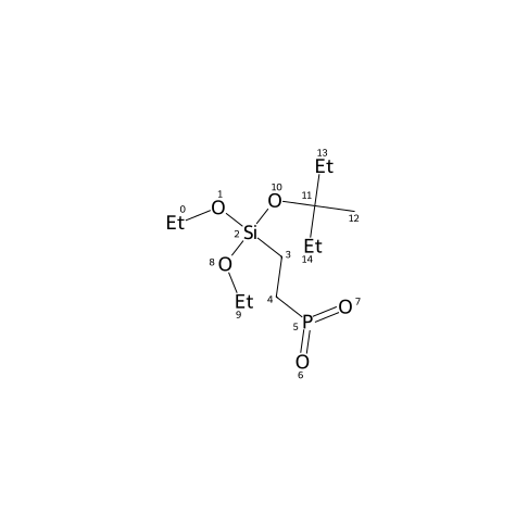 CCO[Si](CCP(=O)=O)(OCC)OC(C)(CC)CC